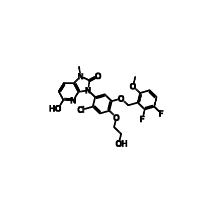 COc1ccc(F)c(F)c1COc1cc(-n2c(=O)n(C)c3ccc(O)nc32)c(Cl)cc1OCCO